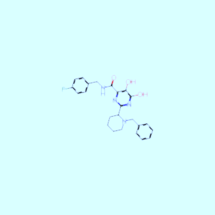 O=C(NCc1ccc(F)cc1)c1nc(C2CCCCN2Cc2ccccc2)nc(O)c1O